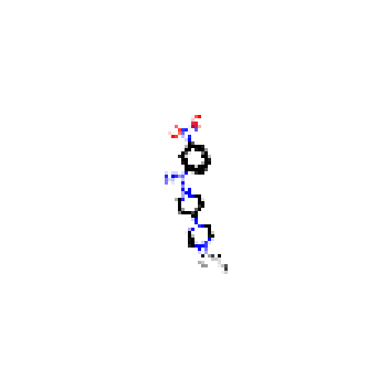 CN1CCN(C2CCN(Nc3cccc([N+](=O)[O-])c3)CC2)CC1